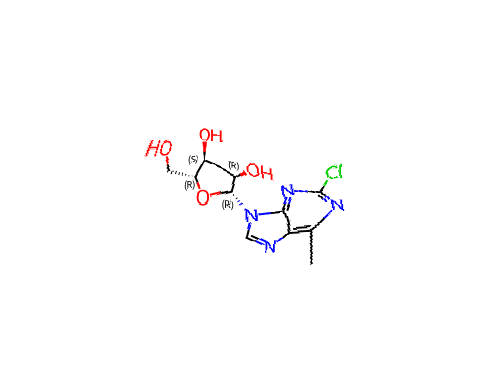 Cc1nc(Cl)nc2c1ncn2[C@@H]1O[C@H](CO)[C@@H](O)[C@H]1O